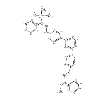 CCC(NCc1ccc(-c2cccc(-c3ccc(CNC(c4ccccc4)C(C)(C)C)cc3)c2)cc1)c1ccccc1